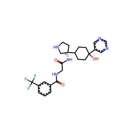 O=C(CNC(=O)c1cccc(C(F)(F)F)c1)N[C@@]1(C2CCC(O)(c3cncnc3)CC2)CCNC1